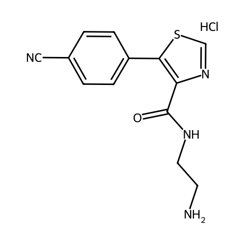 Cl.N#Cc1ccc(-c2scnc2C(=O)NCCN)cc1